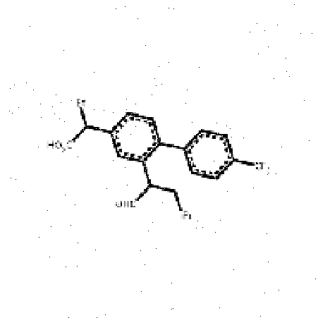 CCC(C(=O)O)c1ccc(-c2ccc(C(F)(F)F)cc2)c(C(C=O)CC(C)C)c1